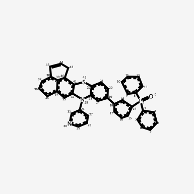 O=P(c1ccccc1)(c1ccccc1)c1cccc(-c2ccc3c(c2)N(c2cccnc2)c2cc4cccc5c4c(c2S3)CC=C5)c1